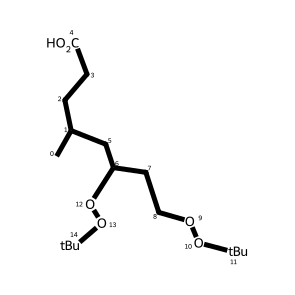 CC(CCC(=O)O)CC(CCOOC(C)(C)C)OOC(C)(C)C